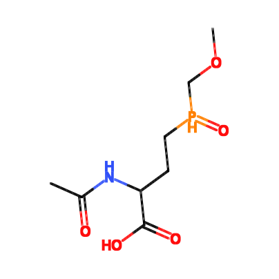 COC[PH](=O)CCC(NC(C)=O)C(=O)O